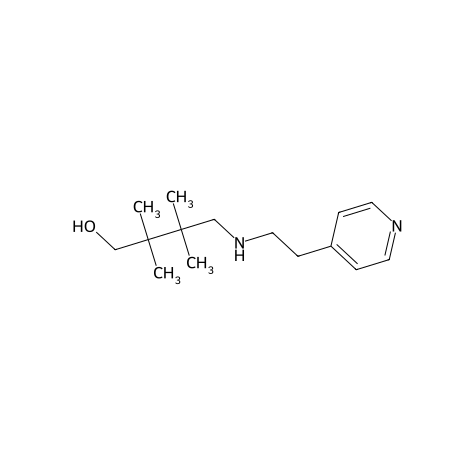 CC(C)(CO)C(C)(C)CNCCc1ccncc1